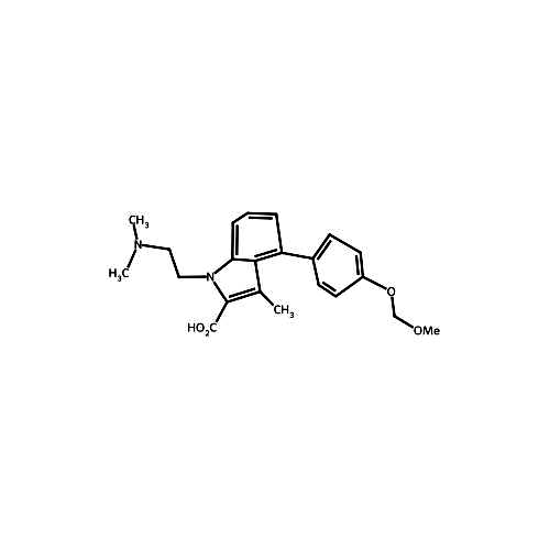 COCOc1ccc(-c2cccc3c2c(C)c(C(=O)O)n3CCN(C)C)cc1